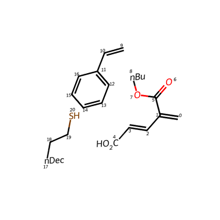 C=C(C=CC(=O)O)C(=O)OCCCC.C=Cc1ccccc1.CCCCCCCCCCCCS